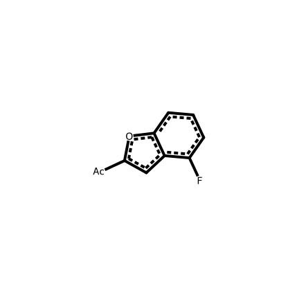 CC(=O)c1cc2c(F)cccc2o1